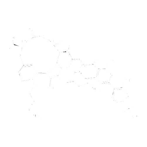 Cc1nc(-c2ccc(C(C)(C)C)cc2O)cc(CN)c1C(=O)NCC(=O)N(C)[C@@H]1C(=O)N[C@@H](C)C(=O)N[C@H](C(=O)O)Cc2ccc(OCCCN)c(c2)-c2cc1cc(OCCCN)c2O